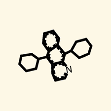 c1ccc2c(C3CCCCC3)c3ncccc3c(C3CCCCC3)c2c1